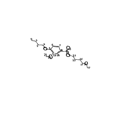 CCCCOc1ccc(C(=O)OCCCCOC)cc1OC